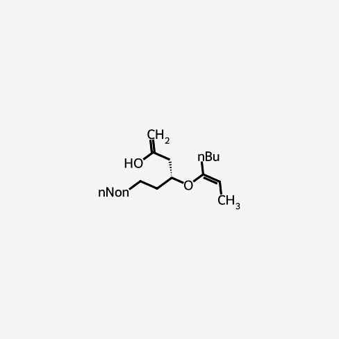 C=C(O)C[C@@H](CCCCCCCCCCC)O/C(=C\C)CCCC